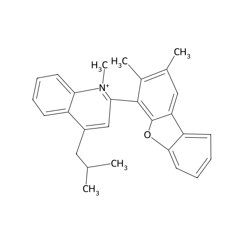 Cc1cc2c(oc3ccccc32)c(-c2cc(CC(C)C)c3ccccc3[n+]2C)c1C